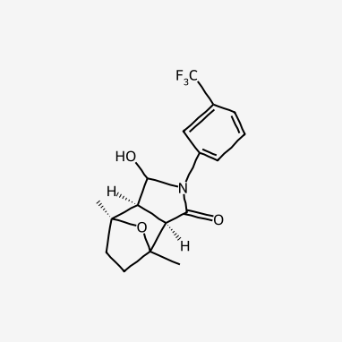 CC12CC[C@](C)(O1)[C@H]1C(O)N(c3cccc(C(F)(F)F)c3)C(=O)[C@H]12